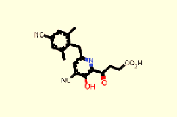 Cc1cc(C#N)cc(C)c1Cc1cc(C#N)c(O)c(C(=O)CCC(=O)O)n1